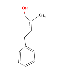 CC(=CCc1ccccc1)CO